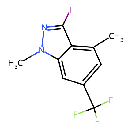 Cc1cc(C(F)(F)F)cc2c1c(I)nn2C